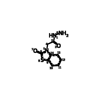 NNC(=O)Cn1c(=O)sc2ccccc21